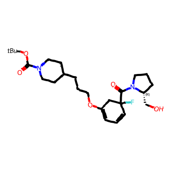 CC(C)(C)OC(=O)N1CCC(CCCOC2=CC=CC(F)(C(=O)N3CCC[C@@H]3CO)C2)CC1